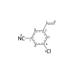 C=Cc1cc(Cl)cc(C#N)c1